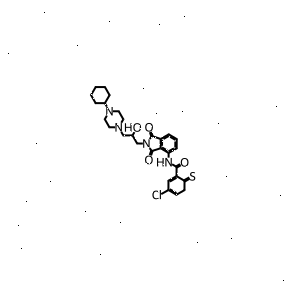 O=C(Nc1cccc2c1C(=O)N(CC(O)CN1CCN(C3CCCCC3)CC1)C2=O)C1=CC(Cl)=CCC1=S